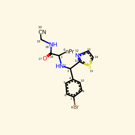 CCCC(NC(c1ccc(Br)cc1)c1nccs1)C(=O)NCC#N